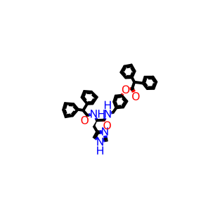 O=C(N[C@H](Cc1c[nH]cn1)C(=O)NCc1ccc(OC(=O)C(c2ccccc2)c2ccccc2)cc1)C(c1ccccc1)c1ccccc1